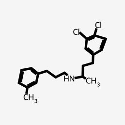 Cc1cccc(CCCNC(C)CCc2ccc(Cl)c(Cl)c2)c1